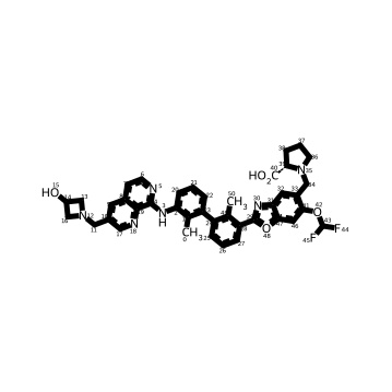 Cc1c(Nc2nccc3cc(CN4CC(O)C4)cnc23)cccc1-c1cccc(-c2nc3cc(CN4CCC[C@H]4C(=O)O)c(OC(F)F)cc3o2)c1C